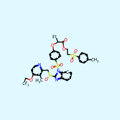 CCC(Oc1ccc(S(=O)(=O)n2c([S+]([O-])Cc3nccc(OCC(F)(F)F)c3C)nc3ccccc32)cc1)C(=O)OCCS(=O)(=O)c1ccc(C)cc1